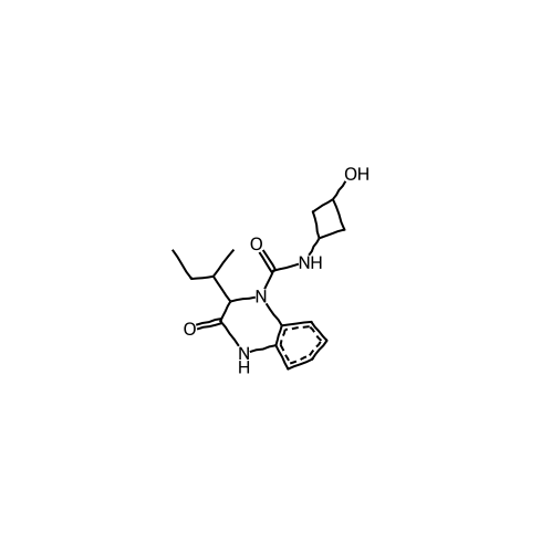 CCC(C)C1C(=O)Nc2ccccc2N1C(=O)NC1CC(O)C1